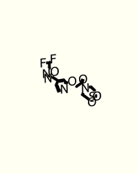 O=C(COc1cc(-c2nnc(C(F)F)o2)ccn1)N1CCS(=O)(=O)CC1